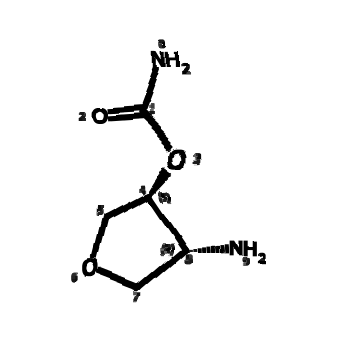 NC(=O)O[C@@H]1COC[C@H]1N